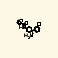 NC[C@]1(c2cccc(Cl)c2)CC[C@H](NC(=O)c2ccco2)CC1